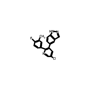 Cc1cc(-c2ncc(Cl)cc2-c2ccc3[nH]ncc3c2)ccc1F